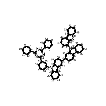 c1ccc(-c2nc(-c3ccccc3)nc(-c3cccc(-n4c5ccccc5c5cc(-c6ccc7c8ccccc8n(-c8cccc9c8sc8ccccc89)c7c6)ccc54)c3)n2)cc1